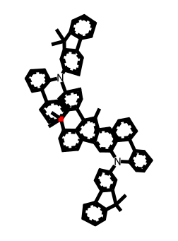 Cc1c2c3c(cccc3c3cc(N(c4ccc5c(c4)C(C)(C)c4ccccc4-5)c4ccccc4-c4ccccc4)ccc13)C(C)(C)c1cc(N(c3ccc4c(c3)C(C)(C)c3ccccc3-4)c3ccccc3-c3ccccc3)ccc1-2